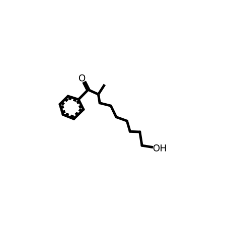 CC(CCCCCCCO)C(=O)c1ccccc1